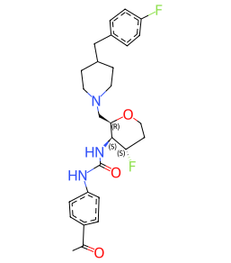 CC(=O)c1ccc(NC(=O)N[C@@H]2[C@@H](F)CCO[C@@H]2CN2CCC(Cc3ccc(F)cc3)CC2)cc1